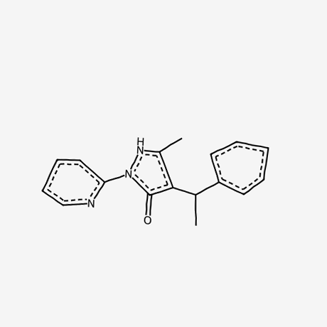 Cc1[nH]n(-c2ccccn2)c(=O)c1C(C)c1ccccc1